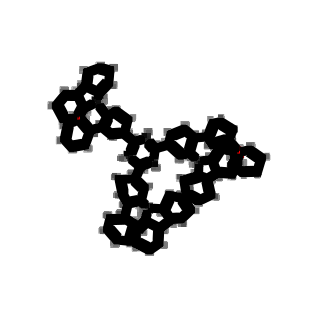 c1ccc(-c2cccc(-c3ccc(-c4nc(-c5ccc(-n6c7ccccc7c7ccccc76)c(-c6ccccc6)c5)nc(-c5ccc(-c6ccccc6)c(-n6c7ccccc7c7ccccc76)c5)n4)cc3-n3c4ccccc4c4ccccc43)c2)cc1